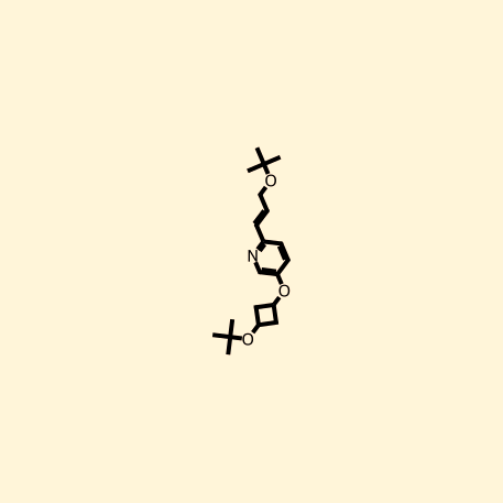 CC(C)(C)OC/C=C/c1ccc(OC2CC(OC(C)(C)C)C2)cn1